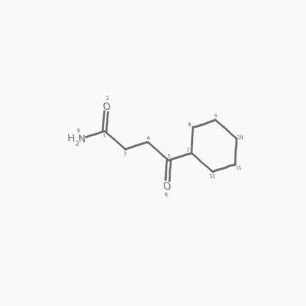 NC(=O)CCC(=O)C1CCCCC1